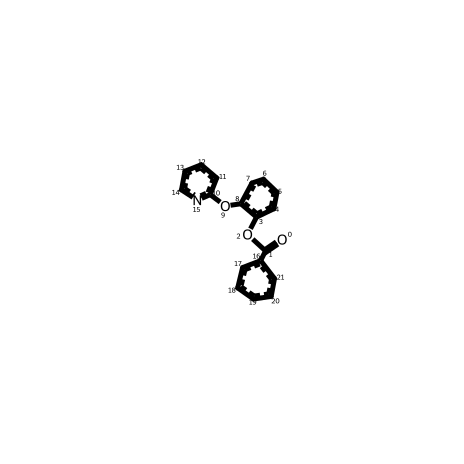 O=C(Oc1ccccc1Oc1ccccn1)c1ccccc1